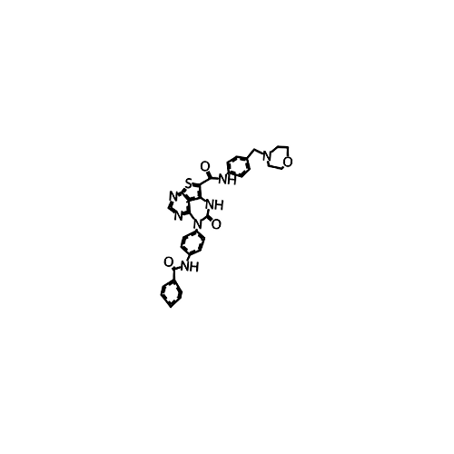 O=C(Nc1ccc(N2C(=O)Nc3c(C(=O)Nc4ccc(CN5CCOCC5)cc4)sc4ncnc2c34)cc1)c1ccccc1